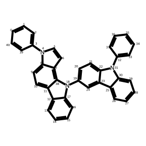 c1ccc(-n2ccc3c2ccc2c4ccccc4n(-c4ccc5c(c4)c4ccccc4n5-c4ccccc4)c23)cc1